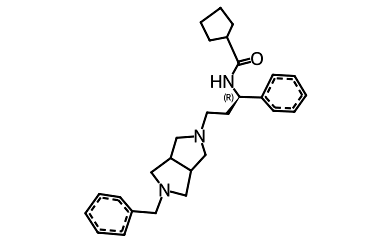 O=C(N[C@H](CCN1CC2CN(Cc3ccccc3)CC2C1)c1ccccc1)C1CCCC1